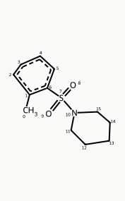 Cc1ccccc1S(=O)(=O)N1CCCCC1